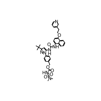 CN(C)S(=O)(=O)NC(=O)OCc1ccc(-n2nc(C(C)(C)C)cc2NC(=O)Nc2ccc(OCCc3cccnc3)c3ccccc23)cc1